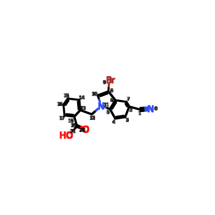 N#Cc1ccc2c(c1)c(Br)cn2Cc1ccccc1C(=O)O